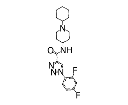 O=C(NC1CCN(C2CCCCC2)CC1)c1cn(-c2ccc(F)cc2F)nn1